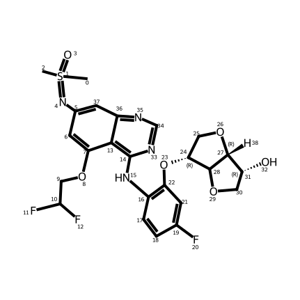 CS(C)(=O)=Nc1cc(OCC(F)F)c2c(Nc3ccc(F)cc3O[C@@H]3CO[C@H]4C3OC[C@H]4O)ncnc2c1